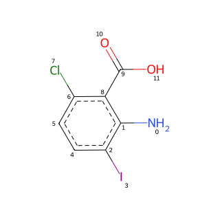 Nc1c(I)ccc(Cl)c1C(=O)O